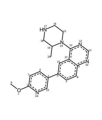 COc1ccc(-c2ccc3ncnc(N4CCNCC4C)c3c2)cn1